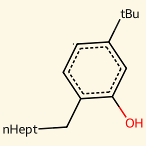 CCCCCCCCc1c[c]c(C(C)(C)C)cc1O